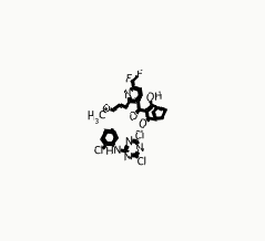 COCCCc1nc(C(F)F)ccc1C(=O)C1=C(O)C2CCC(C2)C1=O.Clc1nc(Cl)nc(Nc2ccccc2Cl)n1